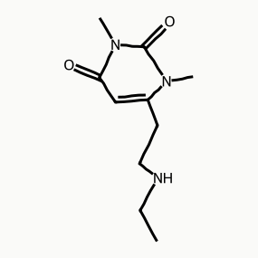 CCNCCc1cc(=O)n(C)c(=O)n1C